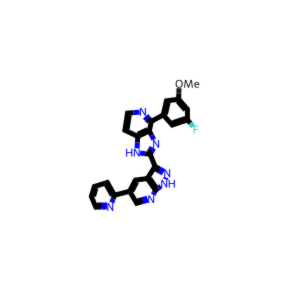 COc1cc(F)cc(-c2nccc3[nH]c(-c4n[nH]c5ncc(-c6ccccn6)cc45)nc23)c1